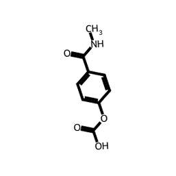 CNC(=O)c1ccc(OC(=O)O)cc1